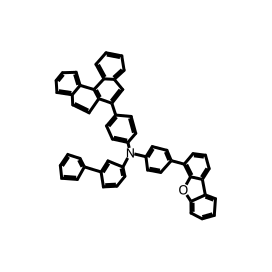 c1ccc(-c2cccc(N(c3ccc(-c4cc5ccccc5c5c4ccc4ccccc45)cc3)c3ccc(-c4cccc5c4oc4ccccc45)cc3)c2)cc1